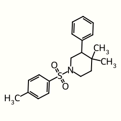 Cc1ccc(S(=O)(=O)N2CCC(C)(C)C(c3ccccc3)C2)cc1